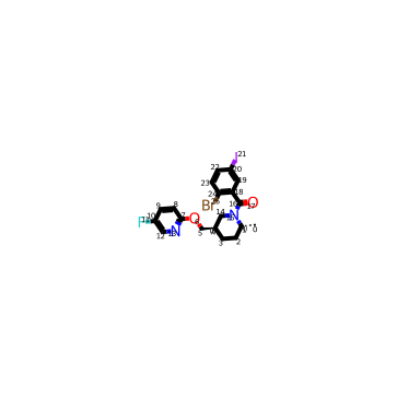 C[C@@H]1CC[C@@H](COc2ccc(F)cn2)CN1C(=O)c1cc(I)ccc1Br